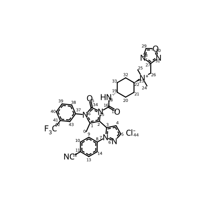 Cc1c(-c2ccnn2-c2ccc(C#N)cc2)n(C(=O)N[C@H]2CC[C@H]([N+](C)(C)Cc3ncon3)CC2)c(=O)n1-c1cccc(C(F)(F)F)c1.[Cl-]